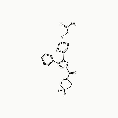 NC(=O)COc1ccc(-c2cc(C(=O)N3CCC(F)(F)CC3)nn2-c2cccnc2)nc1